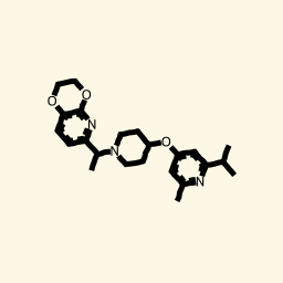 Cc1cc(OC2CCN(C(C)c3ccc4c(n3)OCCO4)CC2)cc(C(C)C)n1